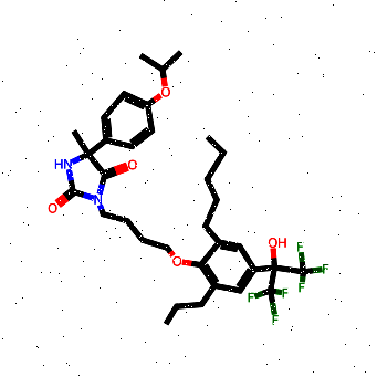 CCCCCc1cc(C(O)(C(F)(F)F)C(F)(F)F)cc(CCC)c1OCCCCN1C(=O)NC(C)(c2ccc(OC(C)C)cc2)C1=O